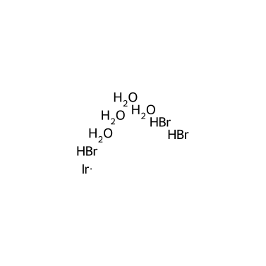 Br.Br.Br.O.O.O.O.[Ir]